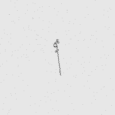 CCCCCCCCCCCCCCCCCCCCCC(=O)OCCN1C#CCC=[N+](CC(=O)[O-])CC1